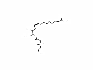 CCCCCC(OC(=O)C[N+](C)(C)CCOC(C)=O)C(O)C/C=C\CCCCCCCC(=O)OC